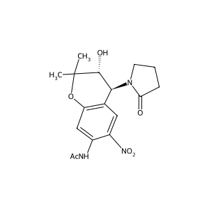 CC(=O)Nc1cc2c(cc1[N+](=O)[O-])[C@H](N1CCCC1=O)[C@@H](O)C(C)(C)O2